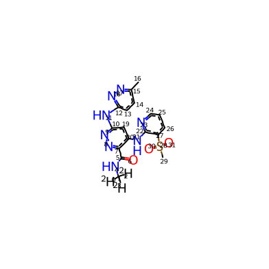 [2H]C([2H])([2H])NC(=O)c1nnc(Nc2ccc(C)nn2)cc1Nc1ncccc1S(C)(=O)=O